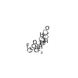 C[C@]12CC[C@H]3[C@@H](CCC4=CC(=O)CC[C@@]43C)[C@@H]1CC[C@@H]2C(=O)NC(c1ccccc1)(C(F)(F)F)C(F)(F)F